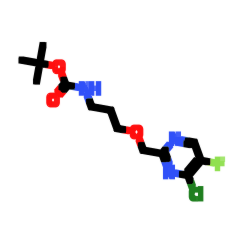 CC(C)(C)OC(=O)NCCCOCc1ncc(F)c(Cl)n1